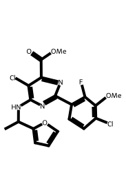 COC(=O)c1nc(-c2ccc(Cl)c(OC)c2F)nc(NC(C)c2ccco2)c1Cl